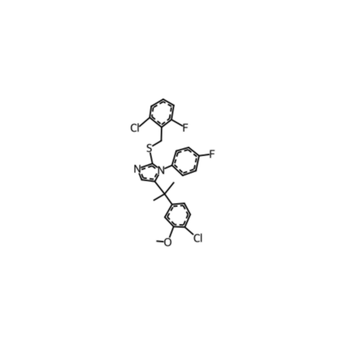 COc1cc(C(C)(C)c2cnc(SCc3c(F)cccc3Cl)n2-c2ccc(F)cc2)ccc1Cl